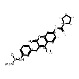 CN[S+]([O-])Nc1cccc(Cc2c(C)c3ccc(OC(=O)N4CCCC4)cc3oc2=O)c1